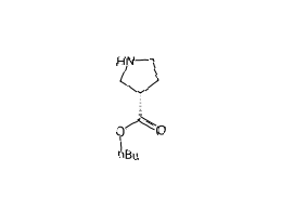 CCCCOC(=O)[C@H]1CCNC1